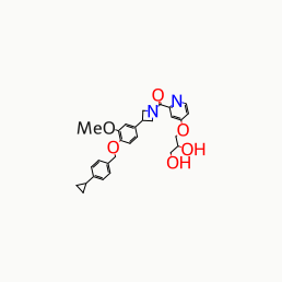 COc1cc(C2CN(C(=O)c3cc(OCC(O)CO)ccn3)C2)ccc1OCc1ccc(C2CC2)cc1